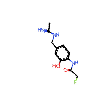 CC(=N)NCc1ccc(NC(=O)CF)c(O)c1